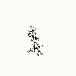 CCOP(OCCNC(=O)OC(C)(C)C)N(C(C)C)C(C)C